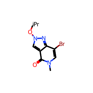 CC(C)On1cc2c(=O)n(C)cc(Br)c2n1